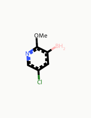 Bc1cc(Cl)cnc1OC